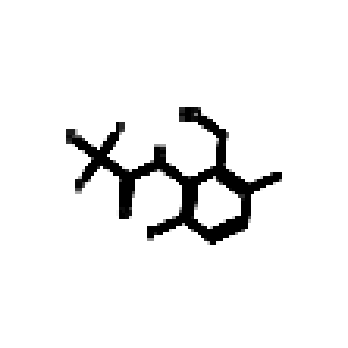 Cc1ccc(F)c(NC(=O)C(F)(F)F)c1CO